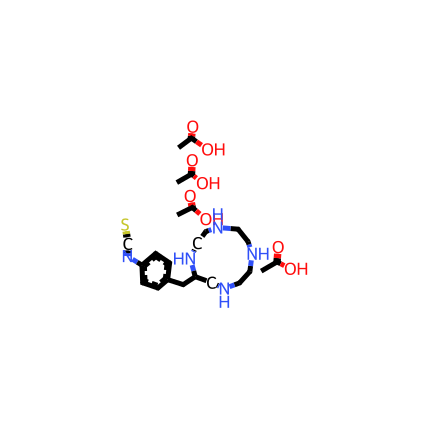 CC(=O)O.CC(=O)O.CC(=O)O.CC(=O)O.S=C=Nc1ccc(CC2CNCCNCCNCCN2)cc1